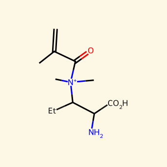 C=C(C)C(=O)[N+](C)(C)C(CC)C(N)C(=O)O